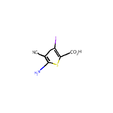 N#Cc1c(N)sc(C(=O)O)c1I